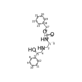 C[C@H](CNC[C@@H](O)c1ccccc1)NC(=O)OCc1ccccc1